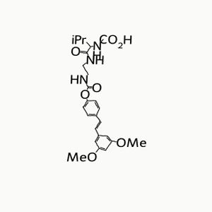 COc1cc(/C=C/c2ccc(OC(=O)NCCNC(=O)C(NC(=O)O)C(C)C)cc2)cc(OC)c1